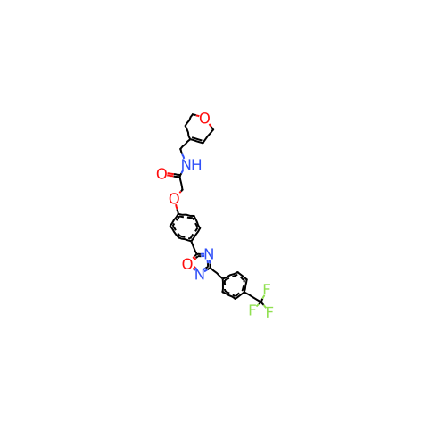 O=C(COc1ccc(-c2nc(-c3ccc(C(F)(F)F)cc3)no2)cc1)NCC1=CCOCC1